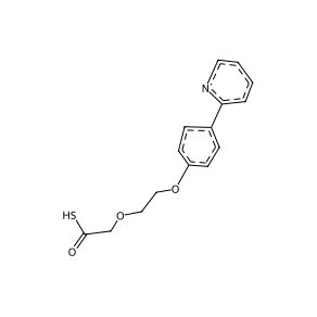 O=C(S)COCCOc1ccc(-c2ccccn2)cc1